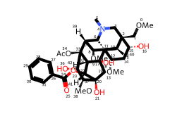 COC[C@]12CN(C)C3[C@@H]4[C@H](OC)[C@H]1[C@@]3([C@@H](OC)C[C@H]2O)[C@]1(O)C[C@@]2(O)[C@H](OC(=O)c3ccccc3)[C@@H]1[C@]4(OC(C)=O)[C@@H](O)[C@@H]2OC